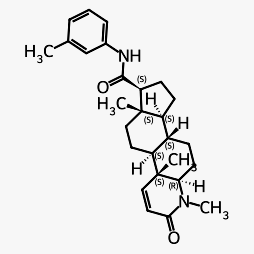 Cc1cccc(NC(=O)[C@H]2CC[C@H]3[C@@H]4CC[C@H]5N(C)C(=O)C=C[C@]5(C)[C@H]4CC[C@]23C)c1